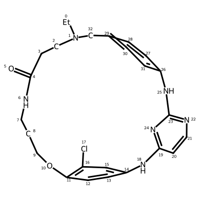 CCN1CCC(=O)NCCCOc2ccc(cc2Cl)Nc2ccnc(n2)Nc2ccc(cc2)C1